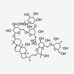 C[C@@H]1[C@@H](O)[C@H](OC[C@H]2O[C@@H](O[C@H](CC[C@@H](C)C3CC[C@@]4(C)C5CC=C6C(CC[C@H](O[C@@H]7O[C@H](CO[C@@H]8O[C@H](CO)[C@@H](O)[C@H](O[C@@H]9O[C@H](CO)[C@@H](O)[C@H](O)[C@H]9O)[C@H]8O)[C@@H](O)[C@H](O)[C@H]7O)C6(C)C)[C@]5(C)[C@H](O)C[C@]34C)C(C)(C)O)[C@H](O)[C@@H](O)[C@@H]2O)O[C@H](CO)[C@H]1O